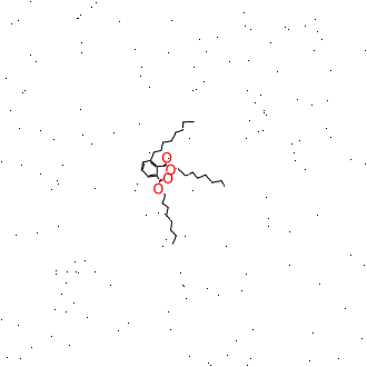 CCCCCCCCOC(=O)c1cccc(CCCCCCCC)c1C(=O)OCCCCCCCC